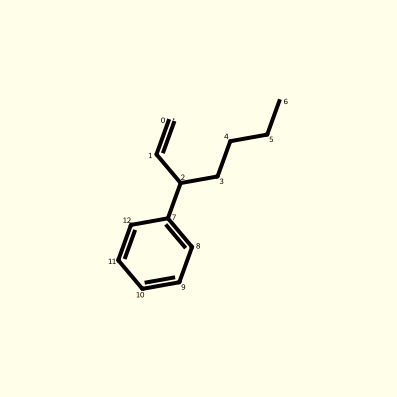 [CH]=CC(CCCC)c1ccccc1